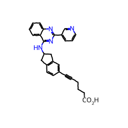 O=C(O)CCCC#Cc1ccc2c(c1)CC(Nc1nc(-c3cccnc3)nc3ccccc13)C2